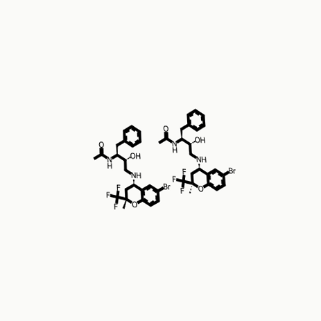 CC(=O)N[C@@H](Cc1ccccc1)[C@H](O)CN[C@H]1C[C@@](C)(C(F)(F)F)Oc2ccc(Br)cc21.CC(=O)N[C@@H](Cc1ccccc1)[C@H](O)CN[C@H]1C[C@](C)(C(F)(F)F)Oc2ccc(Br)cc21